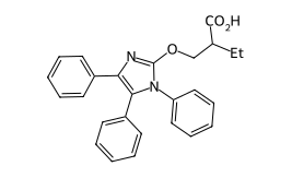 CCC(COc1nc(-c2ccccc2)c(-c2ccccc2)n1-c1ccccc1)C(=O)O